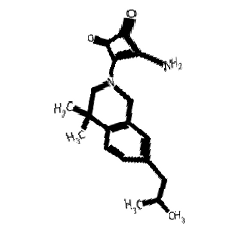 CC(C)Cc1ccc2c(c1)CN(c1c(N)c(=O)c1=O)CC2(C)C